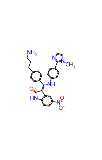 Cn1ccnc1-c1ccc(NC(=C2C(=O)Nc3ccc([N+](=O)[O-])cc32)c2ccc(CCCN)cc2)cc1